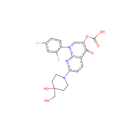 O=C(O)Oc1cn(-c2ccc(F)cc2F)c2nc(N3CCC(O)(CO)CC3)ccc2c1=O